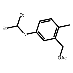 CCC(CC)Nc1ccc(C)c(COC(C)=O)c1